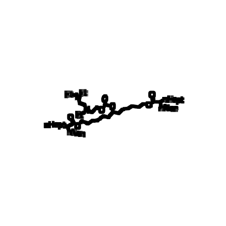 CCCCCCCCCC(CCCCCCC)C(=O)OCCCCCCC(CCCCCCOC(=O)C(CCCCCCC)CCCCCCCCC)OC(=O)OCCN(CC)CCN(CC)CC